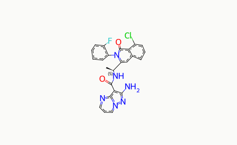 C[C@H](NC(=O)c1c(N)nn2cccnc12)c1cc2cccc(Cl)c2c(=O)n1-c1ccccc1F